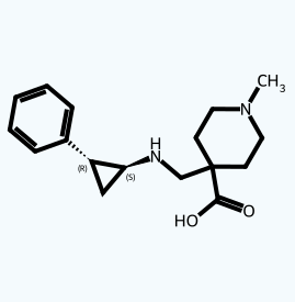 CN1CCC(CN[C@H]2C[C@@H]2c2ccccc2)(C(=O)O)CC1